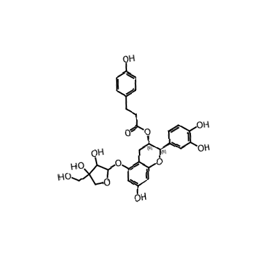 O=C(CCc1ccc(O)cc1)O[C@@H]1Cc2c(OC3OCC(O)(CO)C3O)cc(O)cc2O[C@@H]1c1ccc(O)c(O)c1